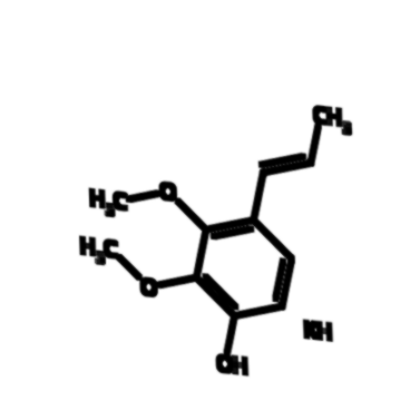 CC=Cc1ccc(O)c(OC)c1OC.[KH]